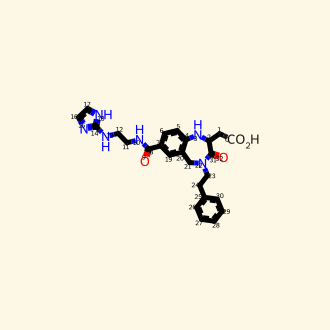 O=C(O)CC1Nc2ccc(C(=O)NCCNc3ncc[nH]3)cc2CN(CCc2ccccc2)C1=O